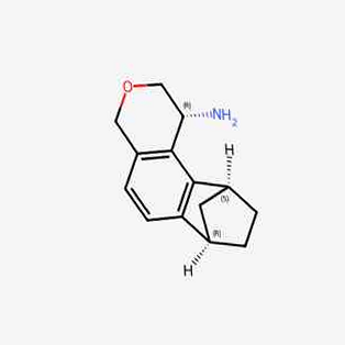 N[C@H]1COCc2ccc3c(c21)[C@H]1CC[C@@H]3C1